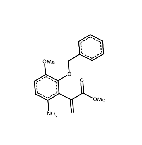 C=C(C(=O)OC)c1c([N+](=O)[O-])ccc(OC)c1OCc1ccccc1